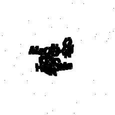 COc1ncc(-c2cnnc3ccccc23)cc1NC(=O)[C@@](OC)(c1ccccc1)c1ncc[nH]1